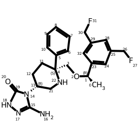 C[C@@H](OC[C@@]1(c2ccccc2)CC[C@@H](n2c(N)n[nH]c2=O)CN1)c1cc(CF)cc(CF)c1